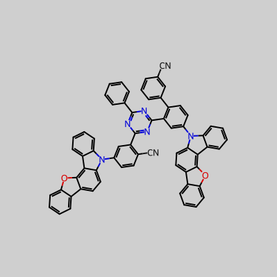 N#Cc1cccc(-c2ccc(-n3c4ccccc4c4c5oc6ccccc6c5ccc43)cc2-c2nc(-c3ccccc3)nc(-c3cc(-n4c5ccccc5c5c6oc7ccccc7c6ccc54)ccc3C#N)n2)c1